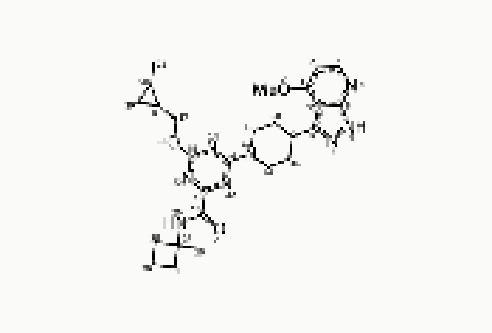 COc1ccnc2[nH]nc(C3CCN(c4nc(OC[C@H]5C[C@H]5C)nc(C(=O)NC5(C)CCC5)n4)CC3)c12